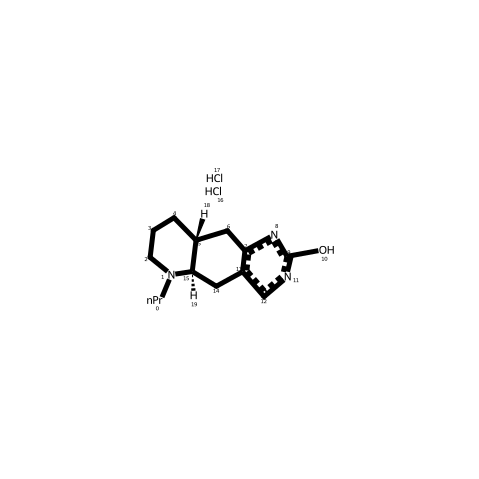 CCCN1CCC[C@@H]2Cc3nc(O)ncc3C[C@H]21.Cl.Cl